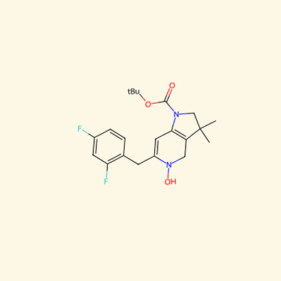 CC(C)(C)OC(=O)N1CC(C)(C)C2=C1C=C(Cc1ccc(F)cc1F)N(O)C2